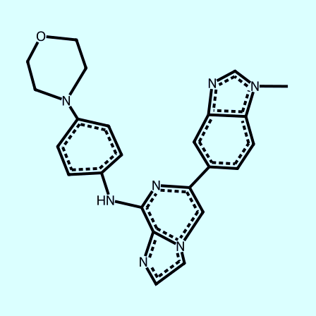 Cn1cnc2cc(-c3cn4ccnc4c(Nc4ccc(N5CCOCC5)cc4)n3)ccc21